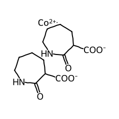 O=C([O-])C1CCCCNC1=O.O=C([O-])C1CCCCNC1=O.[Co+2]